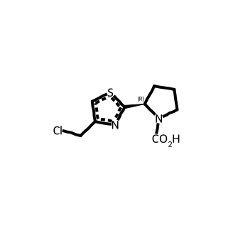 O=C(O)N1CCC[C@@H]1c1nc(CCl)cs1